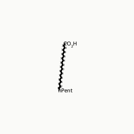 CCCCCC=CCCCCCCCCCCCCCCCCCCCC(=O)O